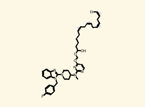 CC/C=C\C/C=C\C/C=C\C/C=C\CCCCC(O)OCOc1ccnc(N(C)C2CCN(c3nc4ccccc4n3Cc3ccc(F)cc3)CC2)n1